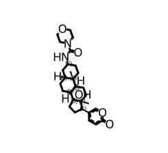 C[C@]12CC[C@H](NC(=O)N3CCOCC3)C[C@H]1CC[C@@H]1[C@@H]2CC[C@]2(C)[C@@H](c3ccc(=O)oc3)CC[C@]12O